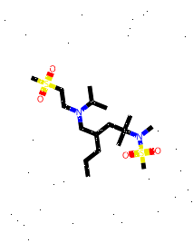 CCCC(CN(CCS(C)(=O)=O)C(C)C)CC(C)(C)N(C)S(C)(=O)=O